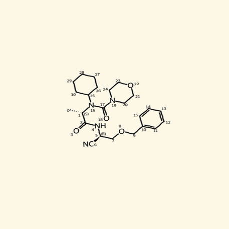 C[C@@H](C(=O)N[C@H](C#N)COCc1ccccc1)N(C(=O)N1CCOCC1)C1CCCCC1